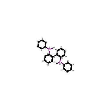 CP(c1ccccc1)c1ccccc1-c1ccccc1P(C)c1ccccc1